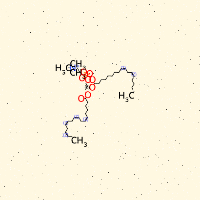 CC/C=C\C/C=C\C/C=C\C/C=C\CCCCC(=O)OC[C@H](COP(=O)([O-])OCC[N+](C)(C)C)OC(=O)CCCCCCC/C=C\C/C=C\CCCCC